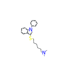 CN(C)CCCCCCSc1cn(-c2ccccc2)c2ccccc12